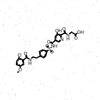 COc1ccc(Cl)c(C(=O)NCCc2ccc(S(=O)(=O)NC(=O)c3cnc(C(=O)NCC(=O)O)c(O)c3)cc2)c1